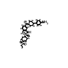 CCS(=O)(=O)N1CCC(S(=O)(=O)Nc2cc(C(=O)N3CCC(c4ccc(N)cc4)CC3)ccc2C)CC1